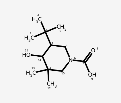 CC(C)(C)C1CN(C(=O)O)CC(C)(C)C1O